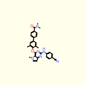 Cc1cc(-c2ccc(C(=O)N(C)C)cc2)cc(C)c1Oc1nc(Nc2ccc(C#N)cc2)nc2ccn(C)c12